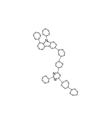 c1ccc(-c2ccc(-c3cc(-c4ccc(-c5cccc(-c6ccc7c(c6)c6cccc(-c8ccccc8)c6n7-c6ccccc6)c5)cc4)nc(-c4ccccc4)n3)cc2)cc1